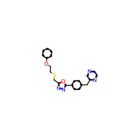 [c]1nccnc1Cc1ccc(-c2nnc(CSCCOc3ccccc3)o2)cc1